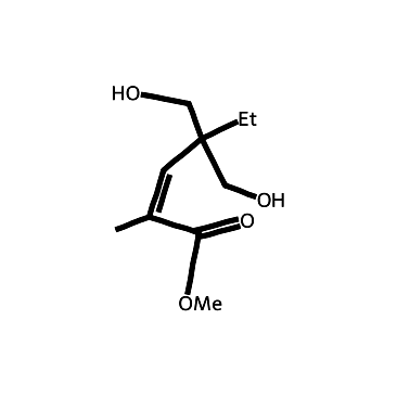 CCC(C=C(C)C(=O)OC)(CO)CO